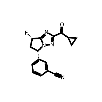 N#Cc1cccc([C@@H]2C[C@H](F)c3nc(C(=O)C4CC4)nn32)c1